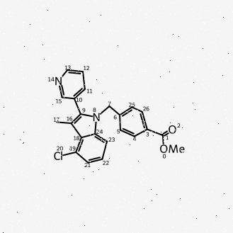 COC(=O)c1ccc(Cn2c(-c3cccnc3)c(C)c3c(Cl)cccc32)cc1